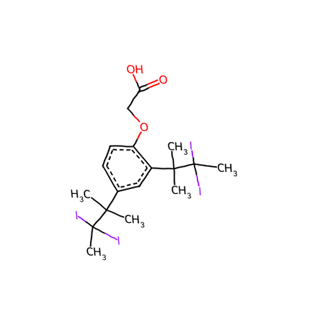 CC(I)(I)C(C)(C)c1ccc(OCC(=O)O)c(C(C)(C)C(C)(I)I)c1